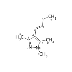 CC/C=C/c1c(C)nn(C)c1C